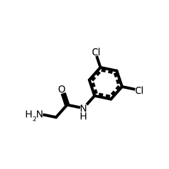 NCC(=O)Nc1cc(Cl)cc(Cl)c1